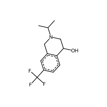 CC(C)N1Cc2cc(C(F)(F)F)ccc2C(O)C1